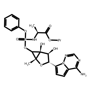 CC(C)OC(=O)[C@H](C)NP(=O)(Oc1ccccc1)OC1[C@@]2(C)O[C@@H](c3ccc4c(N)ncnn34)[C@H](O)[C@@]12O